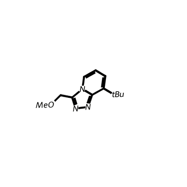 COCc1nnc2c(C(C)(C)C)cccn12